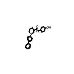 O=C(NC1CCC(O)CC1)C1CCCN(c2ccc(-c3ccccc3)cc2)C1